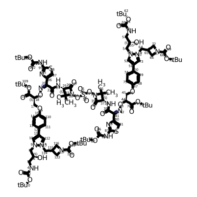 CC(C)(C)OC(=O)NC[C@H](O)Cn1cc(-c2ccc(OC[C@H](O/N=C(\C(=O)N[C@@H]3C(=O)N(OS(=O)(=O)ON4C(=O)[C@@H](NC(=O)/C(=N\O[C@@H](COc5ccc(-c6cn(C[C@@H](O)CNC(=O)OC(C)(C)C)[n+](CC7CN(C(=O)OC(C)(C)C)C7)c6)cc5)C(=O)OC(C)(C)C)c5csc(NC(=O)OC(C)(C)C)n5)C4(C)C)C3(C)C)c3csc(NC(=O)OC(C)(C)C)n3)C(=O)OC(C)(C)C)cc2)c[n+]1CC1CN(C(=O)OC(C)(C)C)C1